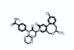 CC1Cc2ccc(Cl)cc2-c2cc(=O)n(C(C[C@@H]3COCCO3)C(=O)Nc3ccc(C(N)=O)cc3)cc2CO1